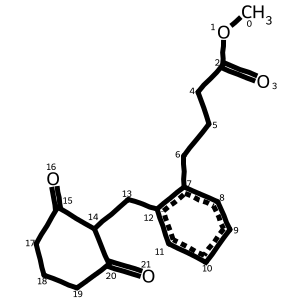 COC(=O)CCCc1ccccc1CC1C(=O)CCCC1=O